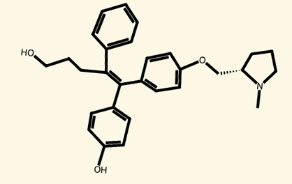 CN1CCC[C@H]1COc1ccc(/C(=C(/CCCO)c2ccccc2)c2ccc(O)cc2)cc1